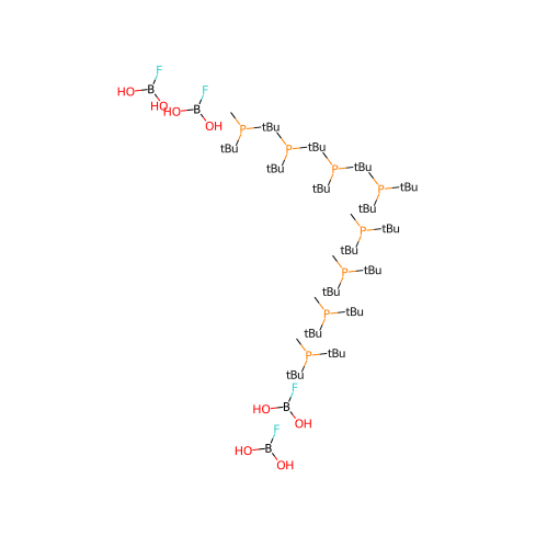 CP(C(C)(C)C)C(C)(C)C.CP(C(C)(C)C)C(C)(C)C.CP(C(C)(C)C)C(C)(C)C.CP(C(C)(C)C)C(C)(C)C.CP(C(C)(C)C)C(C)(C)C.CP(C(C)(C)C)C(C)(C)C.CP(C(C)(C)C)C(C)(C)C.CP(C(C)(C)C)C(C)(C)C.OB(O)F.OB(O)F.OB(O)F.OB(O)F